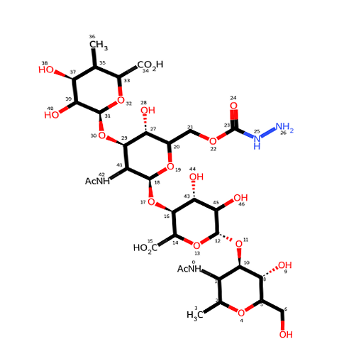 CC(=O)NC1C(C)OC(CO)[C@@H](O)[C@@H]1O[C@@H]1OC(C(=O)O)[C@@H](O[C@@H]2OC(COC(=O)NN)[C@@H](O)[C@H](O[C@@H]3OC(C(=O)O)C(C)[C@H](O)C3O)C2NC(C)=O)[C@H](O)C1O